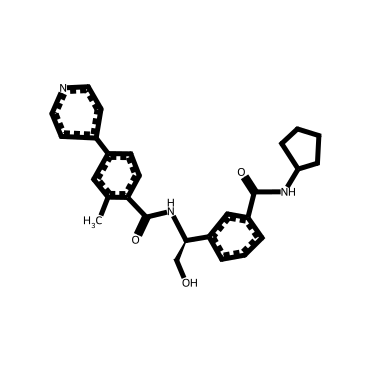 Cc1cc(-c2ccncc2)ccc1C(=O)N[C@H](CO)c1cccc(C(=O)NC2CCCC2)c1